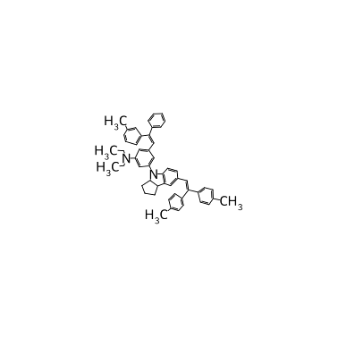 CCN(CC)c1cc(/C=C(/c2ccccc2)c2cccc(C)c2)cc(N2c3ccc(C=C(c4ccc(C)cc4)c4ccc(C)cc4)cc3C3CCCC32)c1